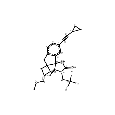 COC=C1CC2(C1)Cc1ccc(C#CC3CC3)cc1C21NC(=O)N(CC(F)(F)F)C1=O